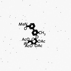 CNC(=O)c1cccc(-c2ccc(O[C@H]3O[C@H]([C@@H](OC(C)=O)C(C)C)[C@@H](OC(C)=O)[C@H](OC(C)=O)[C@@H]3OC(C)=O)c(C)c2)c1